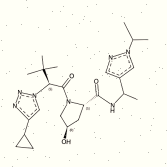 CC(NC(=O)[C@@H]1C[C@@H](O)CN1C(=O)[C@@H](n1cc(C2CC2)nn1)C(C)(C)C)c1cnn(C(C)C)c1